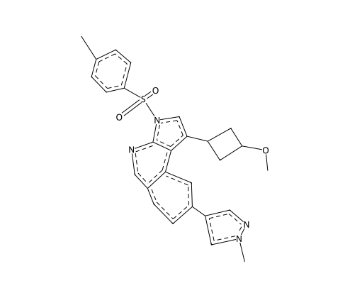 COC1CC(c2cn(S(=O)(=O)c3ccc(C)cc3)c3ncc4ccc(-c5cnn(C)c5)cc4c23)C1